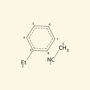 CC#N.CCc1ccccc1